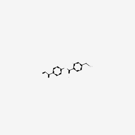 C=CC(=O)c1ccc(OC(=O)c2ccc(CC(C)CC)cc2)cc1